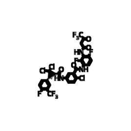 O=C(CC(=O)C(F)(F)F)Nc1c(F)ccc(NC(=O)c2cc(NC(=O)[C@H]3[C@H](c4ccc(F)c(C(F)(F)F)c4)C3(Cl)Cl)ccc2Cl)c1F